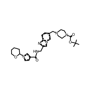 CC(C)(C)OC(=O)N1CCN(Cc2ccc3nc(CNC(=O)c4ccn(C5CCCCO5)c4)cn3c2)CC1